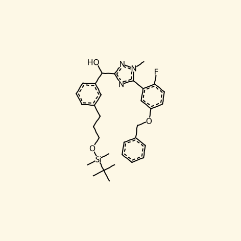 Cn1nc(C(O)c2cccc(CCCO[Si](C)(C)C(C)(C)C)c2)nc1-c1cc(OCc2ccccc2)ccc1F